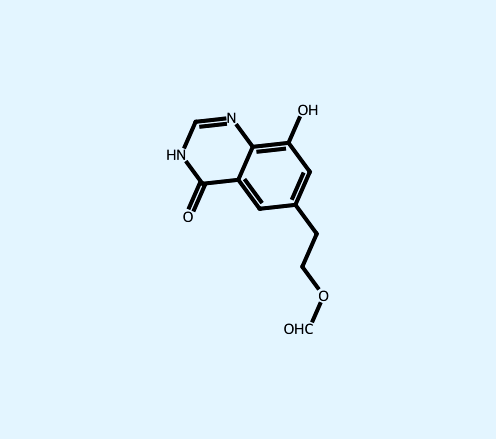 O=COCCc1cc(O)c2nc[nH]c(=O)c2c1